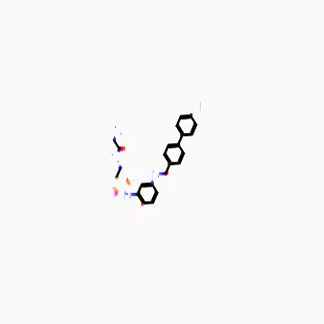 NCC(=O)NCCS(=O)(=O)Nc1cc(NC(=O)c2ccc(-c3ccc(C(F)(F)F)cc3)cc2)ccc1O